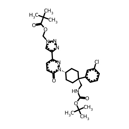 CC(C)(C)OC(=O)NC[C@]1(c2cccc(Cl)c2)CC[C@@H](n2nc(-c3cn(COC(=O)C(C)(C)C)nn3)ccc2=O)CC1